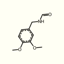 COc1ccc(CNC=O)cc1OC